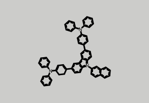 C1=C(c2ccc3c(c2)c2cc(-c4ccc(N(c5ccccc5)c5ccccc5)cc4)ccc2n3-c2ccc3ccccc3c2)CCC(N(c2ccccc2)c2ccccc2)=C1